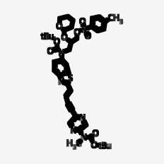 Cc1ccc(S(=O)(=O)OCC(CN(C(=O)OC(C)(C)C)c2ccc3nc(/C=C/C#Cc4cnc(N(C)C(=O)OC(C)(C)C)cn4)sc3c2)OC2CCCCO2)cc1